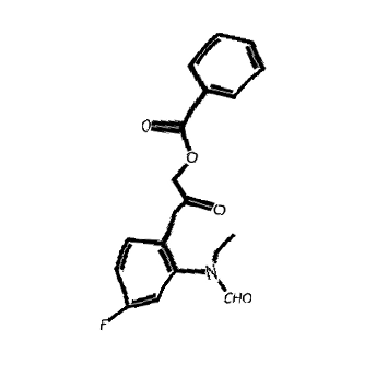 CN(C=O)c1cc(F)ccc1C(=O)COC(=O)c1ccccc1